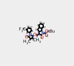 CC1=C(C)C(O/C=C2/C(=O)N(C(=O)OC(C)(C)C)C3c4ccccc4CC23)N(c2cccc(C(F)(F)F)c2)C1=O